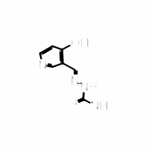 NC(=O)N/N=C/c1cnccc1O